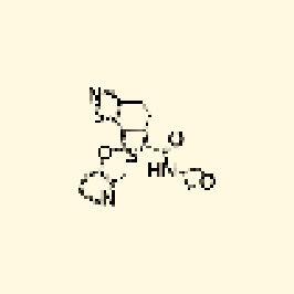 Cc1ncccc1Oc1sc(C(=O)NC2COC2)c2c1-c1sncc1CC2